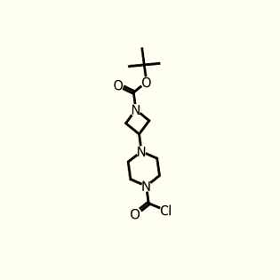 CC(C)(C)OC(=O)N1CC(N2CCN(C(=O)Cl)CC2)C1